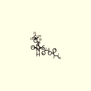 CCCC(=O)OCC(=O)S[C@H]1NC(=O)[C@@H]1[C@@H](C)O[Si](C)(C)C